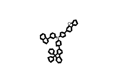 c1ccc(C2(c3ccccc3)c3ccccc3-c3ccc(-c4ccc(N(c5ccc(-c6ccc7c(c6)oc6ccccc67)cc5)c5cccc(-c6cccc7ccccc67)c5)cc4)cc32)cc1